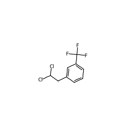 FC(F)(F)c1cccc([CH]C(Cl)Cl)c1